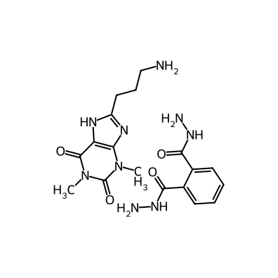 Cn1c(=O)c2[nH]c(CCCN)nc2n(C)c1=O.NNC(=O)c1ccccc1C(=O)NN